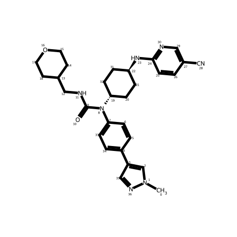 Cn1cc(-c2ccc(N(C(=O)NCC3CCOCC3)[C@H]3CC[C@H](Nc4ccc(C#N)cn4)CC3)cc2)cn1